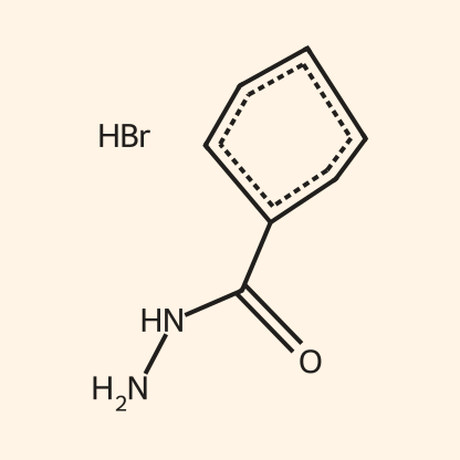 Br.NNC(=O)c1ccccc1